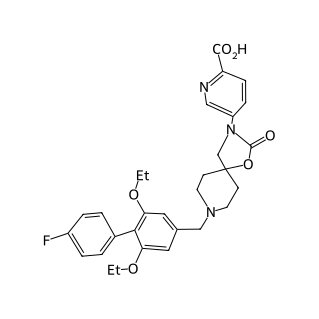 CCOc1cc(CN2CCC3(CC2)CN(c2ccc(C(=O)O)nc2)C(=O)O3)cc(OCC)c1-c1ccc(F)cc1